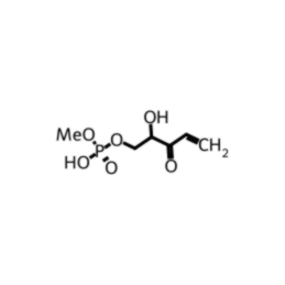 C=CC(=O)C(O)COP(=O)(O)OC